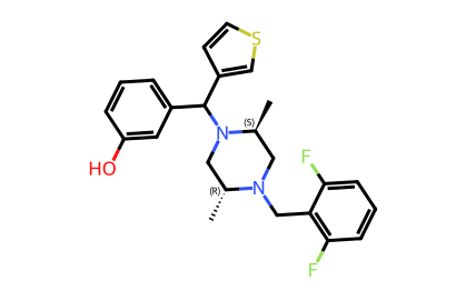 C[C@@H]1CN(C(c2ccsc2)c2cccc(O)c2)[C@@H](C)CN1Cc1c(F)cccc1F